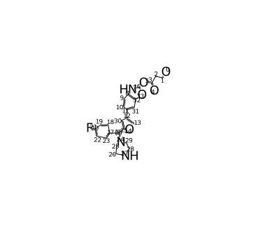 O=CCC(=O)OC1Nc2ccc(-c3coc([C@H](c4ccc(F)cc4)N4CCNCC4)c3)cc2O1